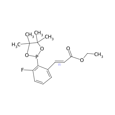 CCOC(=O)/C=C/c1cccc(F)c1P1OC(C)(C)C(C)(C)O1